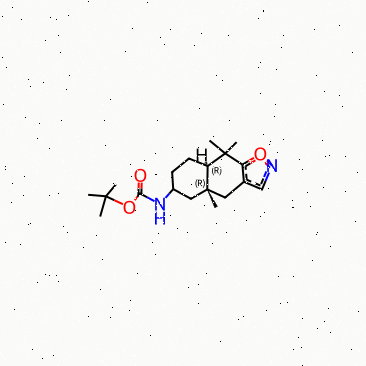 CC(C)(C)OC(=O)NC1CC[C@H]2C(C)(C)c3oncc3C[C@]2(C)C1